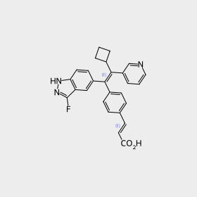 O=C(O)/C=C/c1ccc(/C(=C(\c2cccnc2)C2CCC2)c2ccc3[nH]nc(F)c3c2)cc1